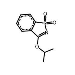 CC(C)OC1=NS(=O)(=O)c2ccccc21